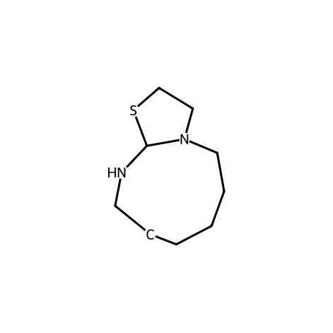 C1CCCN2CCSC2NCC1